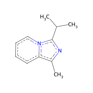 Cc1nc(C(C)C)n2ccccc12